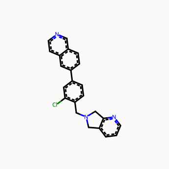 Clc1cc(-c2ccc3cnccc3c2)ccc1CN1Cc2cccnc2C1